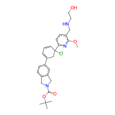 COc1nc(C2(Cl)C=CC=C(c3ccc4c(c3)CN(C(=O)OC(C)(C)C)C4)C2)ccc1CNCCO